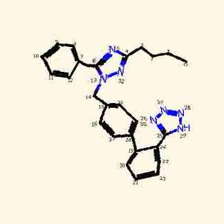 CCCCc1nc(-c2ccccc2)n(Cc2ccc(-c3ccccc3-c3nnn[nH]3)cc2)n1